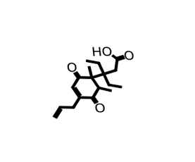 C=CCC1=CC(=O)C(C)(C(CC)(CC)CC(=O)O)C(C)C1=O